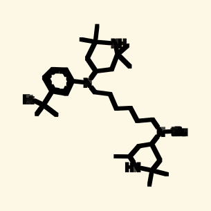 CCC(C)(C)c1cccc(N(CCCCCCN(C2CC(C)NC(C)(C)C2)C(C)(C)C)C2CC(C)(C)NC(C)(C)C2)c1